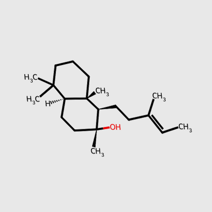 C/C=C(\C)CC[C@@H]1[C@@]2(C)CCCC(C)(C)[C@@H]2CC[C@@]1(C)O